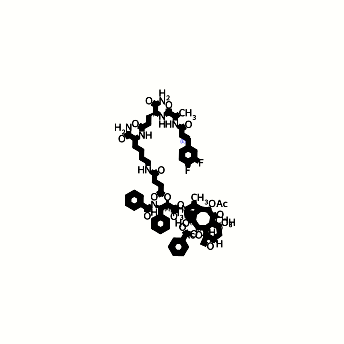 CC(=O)O[C@H]1C(=O)[C@@]2(C)[C@H]([C@H](OC(=O)c3ccccc3)[C@]3(O)C[C@H](OC(=O)[C@H](OC(=O)CCC(=O)NCCCCC(NC(=O)CC[C@H](NC(=O)C(C)NC(=O)/C=C/c4ccc(F)c(F)c4)C(N)=O)C(N)=O)[C@H](NC(=O)c4ccccc4)c4ccccc4)C(C)=C1C3(C)C)[C@]1(OC(C)=O)CO[C@@H]1C[C@@H]2O